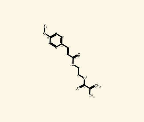 C=C(C)C(=O)OCCOC(=O)/C=C/c1ccc(OCC)cc1